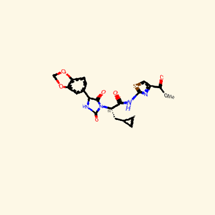 COC(=O)c1csc(NC(=O)[C@H](CC2CC2)N2C(=O)NC(c3ccc4c(c3)OCO4)C2=O)n1